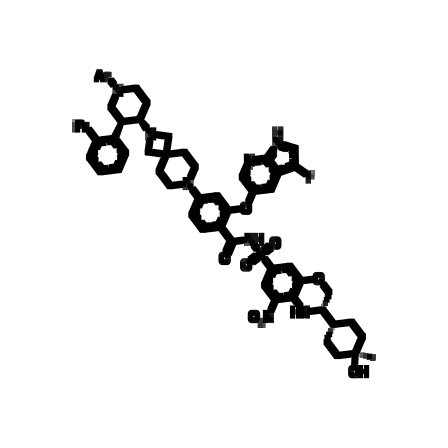 CC(=O)N1CC[C@@H](N2CC3(CCN(c4ccc(C(=O)NS(=O)(=O)c5cc6c(c([N+](=O)[O-])c5)N[C@@H]([C@H]5CC[C@](C)(O)CC5)CO6)c(Oc5cnc6[nH]cc(F)c6c5)c4)CC3)C2)[C@@H](c2ccccc2C(C)C)C1